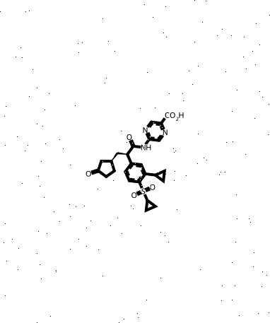 O=C1CC[C@H](C[C@@H](C(=O)Nc2cnc(C(=O)O)cn2)c2ccc(S(=O)(=O)C3CC3)c(C3CC3)c2)C1